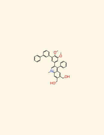 COc1cc(-c2c[n+](C)c3cc(CO)c(CO)cc3c2-c2ccccc2)cc(-c2cccc(-c3ccccc3)c2)c1OC